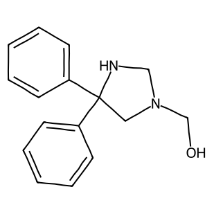 OCN1CNC(c2ccccc2)(c2ccccc2)C1